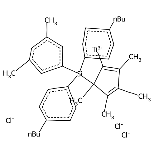 CCCCc1ccc([Si](c2ccc(CCCC)cc2)(c2cc(C)cc(C)c2)C2(C)C(C)=C(C)C(C)=[C]2[Ti+3])cc1.[Cl-].[Cl-].[Cl-]